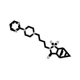 O=C1C2C3C=CC(C4CC34)C2S(=O)(=O)N1CCCCN1CCN(c2ncccn2)CC1